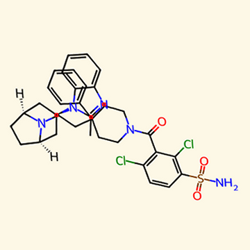 Cc1nc2ccccc2n1[C@H]1C[C@H]2CC[C@@H](C1)N2CCC1(c2ccccc2)CCN(C(=O)c2c(Cl)ccc(S(N)(=O)=O)c2Cl)CC1